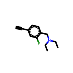 C#Cc1ccc(CN(CC)CC)c(F)c1